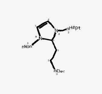 CCCCCCCCCCCCC1N(CCCCCCC)C=CN1CCCCCCCCC